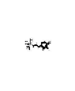 O=[SH](=O)NCCCc1ccc(F)c(I)c1F